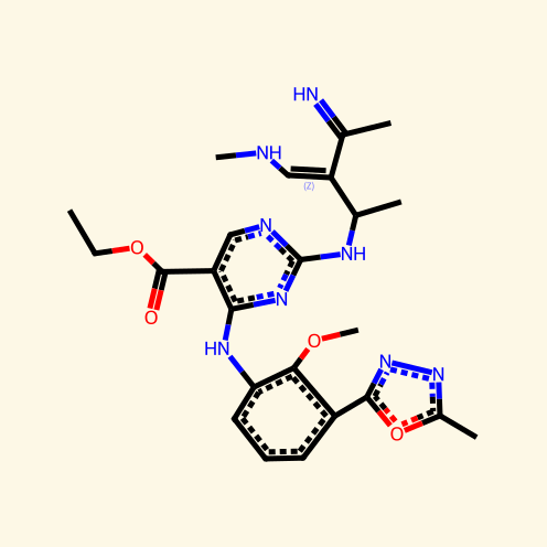 CCOC(=O)c1cnc(NC(C)/C(=C/NC)C(C)=N)nc1Nc1cccc(-c2nnc(C)o2)c1OC